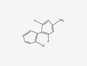 Cc1cc(F)c(-c2[c]cccc2Cl)c(F)c1